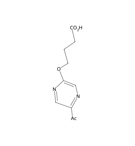 CC(=O)c1cnc(OCCCC(=O)O)cn1